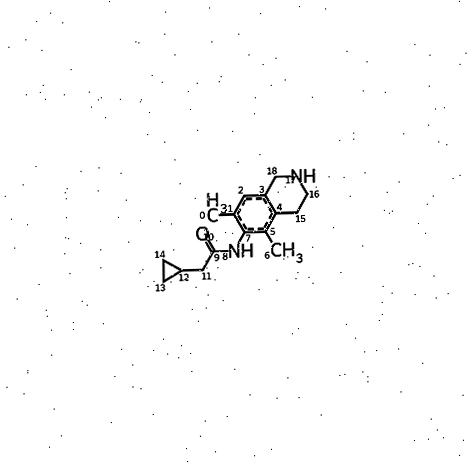 Cc1cc2c(c(C)c1NC(=O)CC1CC1)CCNC2